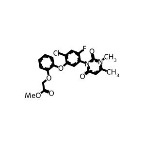 COC(=O)COc1ccccc1Oc1cc(-n2c(=O)cc(C)n(C)c2=O)c(F)cc1Cl